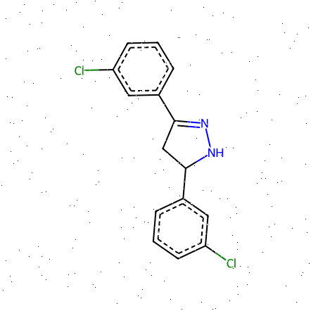 Clc1cccc(C2=NNC(c3cccc(Cl)c3)C2)c1